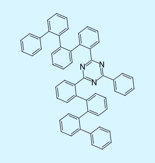 c1ccc(-c2nc(-c3ccccc3-c3ccccc3-c3ccccc3-c3ccccc3)nc(-c3ccccc3-c3ccccc3-c3ccccc3-c3ccccc3)n2)cc1